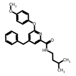 COc1ccc(Oc2cc(Cc3ccccc3)cc(C(=O)NCCC(C)C)n2)cc1